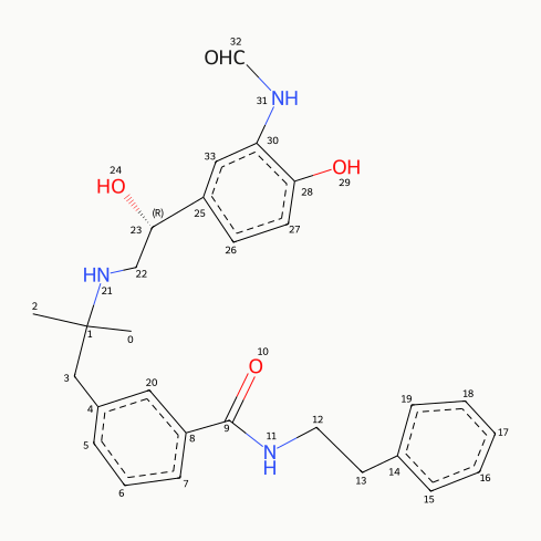 CC(C)(Cc1cccc(C(=O)NCCc2ccccc2)c1)NC[C@H](O)c1ccc(O)c(NC=O)c1